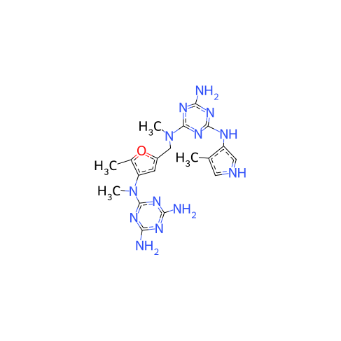 Cc1c[nH]cc1Nc1nc(N)nc(N(C)Cc2cc(N(C)c3nc(N)nc(N)n3)c(C)o2)n1